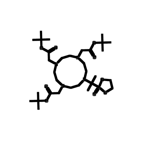 CC(C)(C)OC(=O)CN1CCN(CC(=O)OC(C)(C)C)CCN(C(C)(C)P2(=O)OCCO2)CCN(CC(=O)OC(C)(C)C)CC1